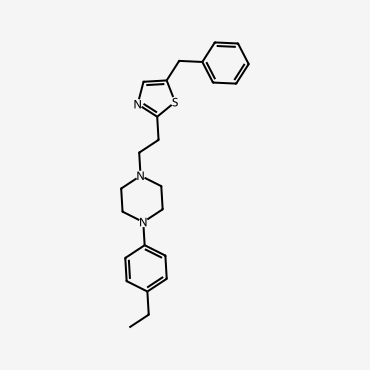 CCc1ccc(N2CCN(CCc3ncc(Cc4ccccc4)s3)CC2)cc1